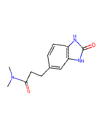 CN(C)C(=O)CCc1ccc2[nH]c(=O)[nH]c2c1